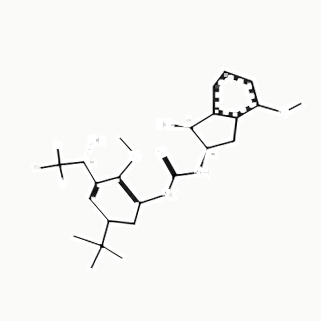 COC1=C(NC(=O)N[C@@H]2Cc3c(OC)cccc3[C@@H]2O)CC(C(C)(C)C)C=C1[C@@H](O)C(F)(F)F